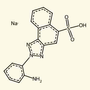 Nc1ccccc1-n1nc2cc(S(=O)(=O)O)c3ccccc3c2n1.[Na]